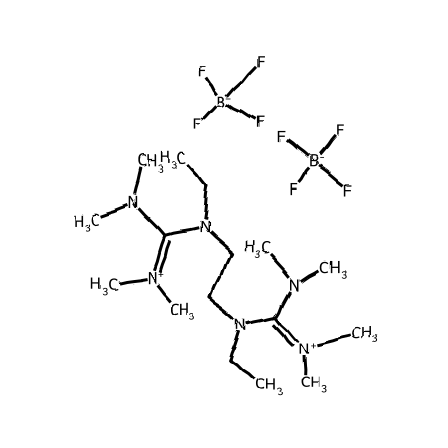 CCN(CCN(CC)C(N(C)C)=[N+](C)C)C(N(C)C)=[N+](C)C.F[B-](F)(F)F.F[B-](F)(F)F